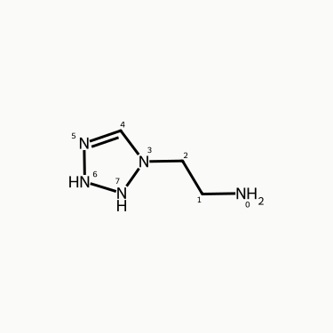 NCCN1C=NNN1